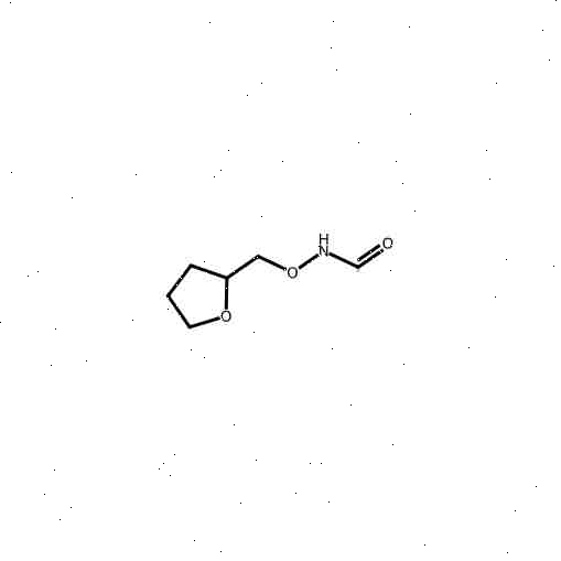 O=[C]NOCC1CCCO1